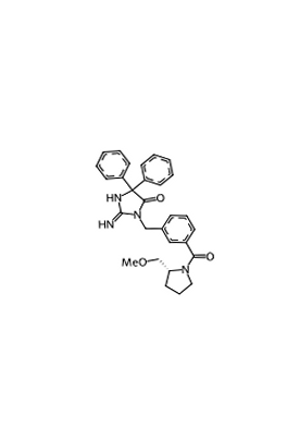 COC[C@H]1CCCN1C(=O)c1cccc(CN2C(=N)NC(c3ccccc3)(c3ccccc3)C2=O)c1